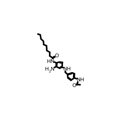 CCCCCCCCCC(=O)Nc1ccc(NCc2ccc(NC(C)=O)cc2)cc1N